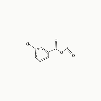 O=[C]OC(=O)c1cccc(Cl)c1